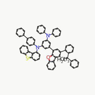 C=C(c1ccccc1)c1ccccc1-c1cc(-c2cc(N(c3ccccc3)c3ccccc3)cc(N(c3ccc(-c4ccccc4)cc3)c3cccc4sc5ccccc5c34)c2)c2oc3ccccc3c2c1C